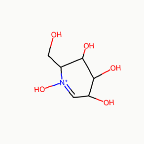 OCC1C(O)C(O)C(O)C=[N+]1O